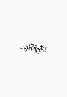 CCOC(=O)N1CCc2cnc(C(=O)Nc3cccc(-c4nnc5n4CCCC5)n3)cc2C1